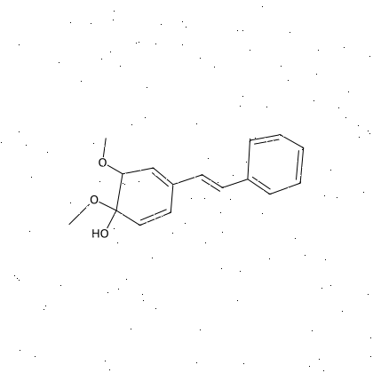 COC1C=C(C=Cc2ccccc2)C=CC1(O)OC